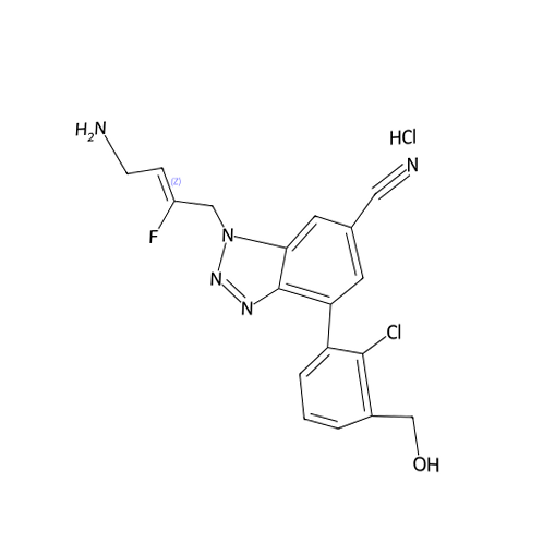 Cl.N#Cc1cc(-c2cccc(CO)c2Cl)c2nnn(C/C(F)=C/CN)c2c1